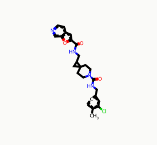 Cc1ccc(CNC(=O)N2CCC3(CC2)CC3CNC(=O)c2cc3ccncc3o2)cc1Cl